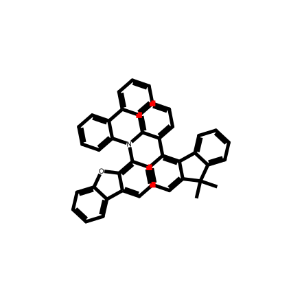 CC1(C)c2ccccc2-c2c(-c3ccccc3N(c3ccccc3-c3ccccc3)c3cccc4c3oc3ccccc34)cccc21